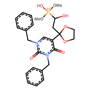 CO[PH](O)(OC)C(O)CC1(c2cn(Cc3ccccc3)c(=O)n(Cc3ccccc3)c2=O)OCCO1